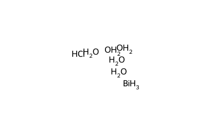 Cl.O.O.O.O.O.[BiH3]